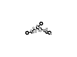 O=C(Cn1c(-c2ccccc2)ncc(NC(=O)c2ncc(-c3ccccc3)o2)c1=O)NCc1cc2cnccc2[nH]1